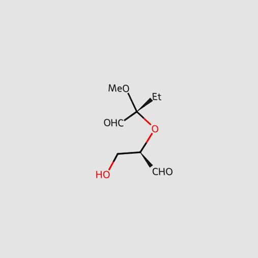 CC[C@@](C=O)(OC)O[C@@H](C=O)CO